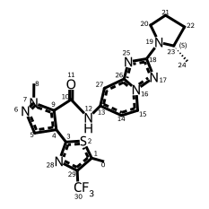 Cc1sc(-c2cnn(C)c2C(=O)Nc2ccn3nc(N4CCC[C@@H]4C)nc3c2)nc1C(F)(F)F